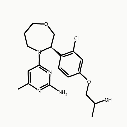 Cc1cc(N2CCCOC[C@H]2c2ccc(OCC(C)O)cc2Cl)nc(N)n1